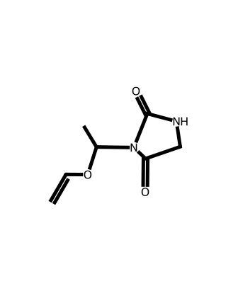 C=COC(C)N1C(=O)CNC1=O